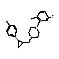 Cc1ccc(Cl)cc1N1CCN(C[C@H]2C[C@@H]2c2ccc(F)cc2)CC1